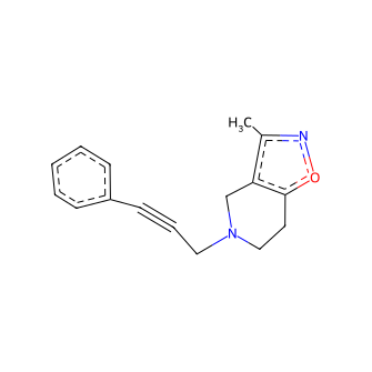 Cc1noc2c1CN(CC#Cc1ccccc1)CC2